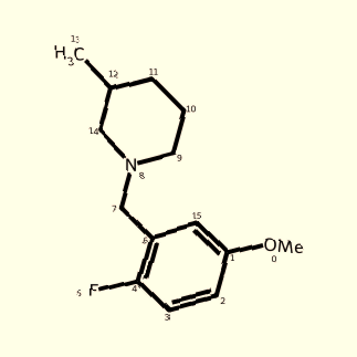 COc1ccc(F)c(CN2CCCC(C)C2)c1